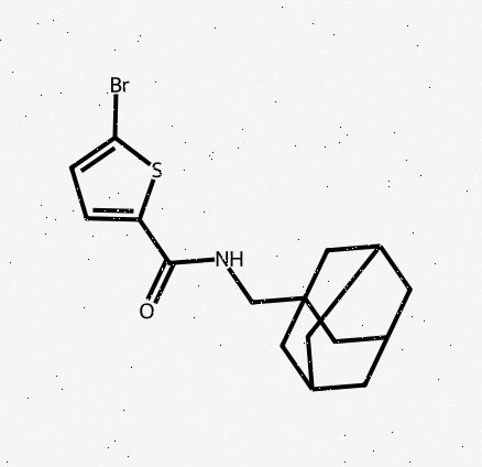 O=C(NCC12CC3CC(CC(C3)C1)C2)c1ccc(Br)s1